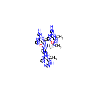 CCNC(=O)Nc1cc(-c2c(Nc3cc[nH]n3)nc3cccnn23)nc(C)n1.Cc1nc(NC(=O)N(C)C)cc(-c2c(Nc3cc[nH]n3)nc3cccnn23)n1.Cc1nc(Nc2cnccn2)cc(-c2c(Nc3cc[nH]n3)nc3cccnn23)n1